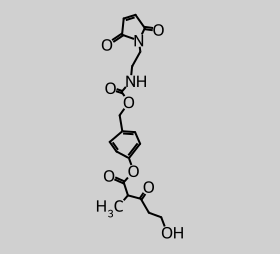 CC(C(=O)CCO)C(=O)Oc1ccc(COC(=O)NCCN2C(=O)C=CC2=O)cc1